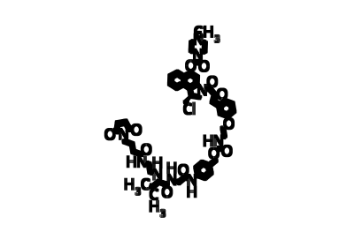 CC(C)[C@H](NCCNC(=O)CCCN1C(=O)C=CC1=O)C(=O)NCC(=O)Nc1ccc(COC(=O)NCCOc2ccc3oc(C(=O)N4C[C@@H](CCl)c5c4cc(OC(=O)N4CCN(C)CC4)c4ccccc54)cc3c2)cc1